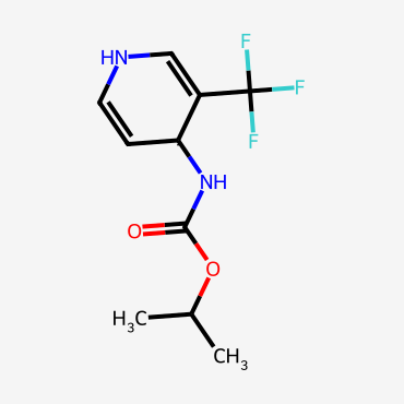 CC(C)OC(=O)N[C]1C=CNC=C1C(F)(F)F